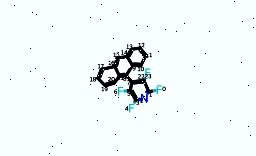 Fc1nc(F)c(F)c(-c2c3ccccc3cc3ccccc23)c1F